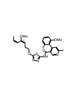 C/C=C\C(=C/CCOc1nnc(NC(=O)c2cnc(C)cc2-c2c(F)cccc2OC)s1)OC